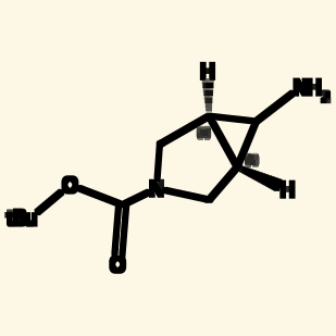 CC(C)(C)OC(=O)N1C[C@H]2C(N)[C@@H]2C1